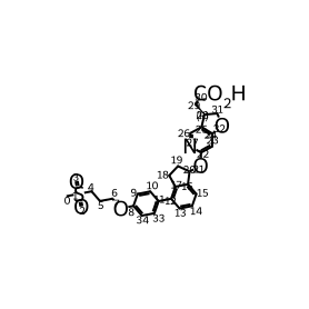 CS(=O)(=O)CCCOc1ccc(-c2cccc3c2CCC3Oc2cc3c(cn2)[C@@H](CC(=O)O)CO3)cc1